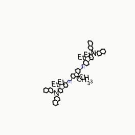 CCC1(CC)c2cc(/C=C/c3ccc4c(c3)C(C)(C)c3cc(/C=C/c5ccc6c(c5)C(CC)(CC)c5cc(N(c7ccc8ccccc8c7)c7ccc8ccccc8c7)ccc5-6)ccc3-4)ccc2-c2ccc(N(c3ccc4ccccc4c3)c3ccc4ccccc4c3)cc21